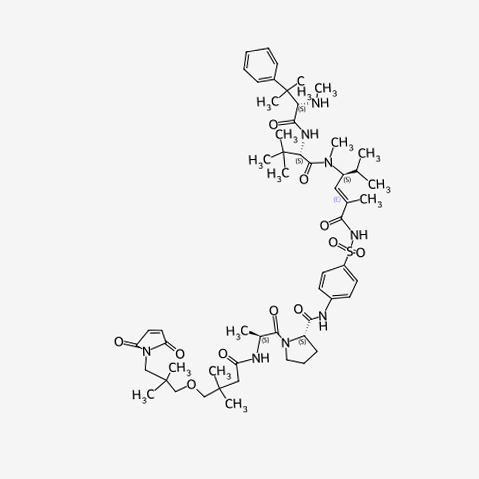 CN[C@H](C(=O)N[C@H](C(=O)N(C)[C@H](/C=C(\C)C(=O)NS(=O)(=O)c1ccc(NC(=O)[C@@H]2CCCN2C(=O)[C@H](C)NC(=O)CC(C)(C)COCC(C)(C)CN2C(=O)C=CC2=O)cc1)C(C)C)C(C)(C)C)C(C)(C)c1ccccc1